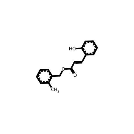 Cc1ccccc1COC(=O)C=Cc1ccccc1O